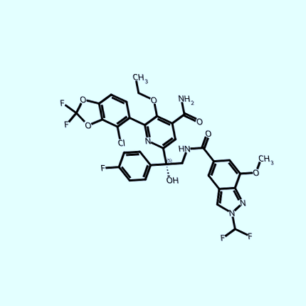 CCOc1c(C(N)=O)cc([C@@](O)(CNC(=O)c2cc(OC)c3nn(C(F)F)cc3c2)c2ccc(F)cc2)nc1-c1ccc2c(c1Cl)OC(F)(F)O2